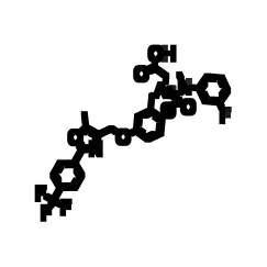 Cc1oc(-c2ccc(C(F)(F)F)cc2)nc1COc1cccc(C[As](CC(=O)O)S(=O)(=O)N(C)c2cccc(F)c2)c1